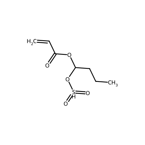 C=CC(=O)OC(CCC)O[SH](=O)=O